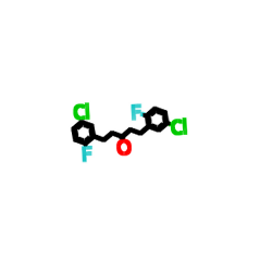 O=C(CCc1cc(Cl)ccc1F)CCc1cc(Cl)ccc1F